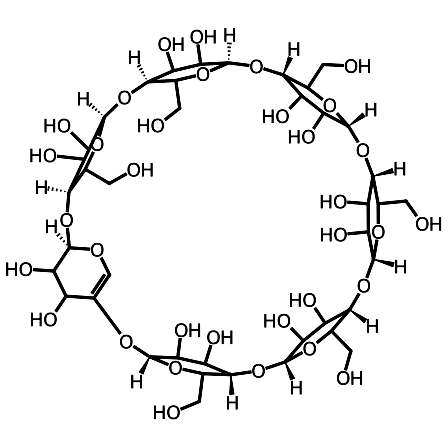 OCC1O[C@@H]2O[C@@H]3C(CO)O[C@H](O[C@@H]4C(CO)O[C@H](O[C@@H]5C(CO)O[C@H](O[C@@H]6C(CO)O[C@H](O[C@@H]7C(CO)O[C@H](OC8=CO[C@H](O[C@H]1C(O)C2O)C(O)C8O)C(O)C7O)C(O)C6O)C(O)C5O)C(O)C4O)C(O)C3O